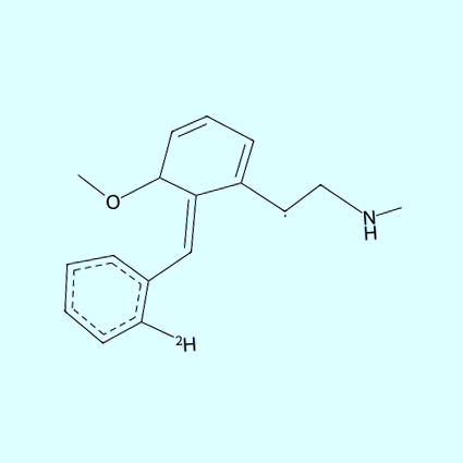 [2H]c1ccccc1C=C1C([CH]CNC)=CC=CC1OC